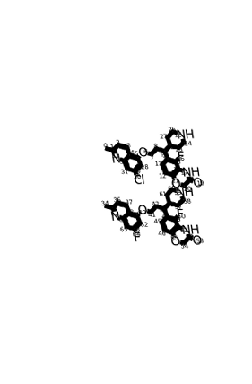 Cc1ccc2c(OCCC(c3ccc4c(c3F)NC(=O)CO4)C3CCNCC3)cc(Cl)cc2n1.Cc1ccc2c(OCCC(c3ccc4c(c3F)NC(=O)CO4)C3CCNCC3)cc(F)cc2n1